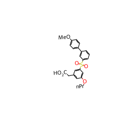 CCCOc1cc(CC(=O)O)cc(S(=O)(=O)c2cccc(-c3ccc(OC)cc3)c2)c1